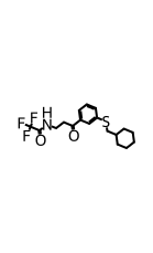 O=C(CCNC(=O)C(F)(F)F)c1cccc(SCC2CCCCC2)c1